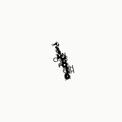 C[Si](C)(C)CCOCn1cc(Cl)c2c(Oc3c(F)cc(NC(=O)NC4CC5CCC4O5)cc3F)ccnc21